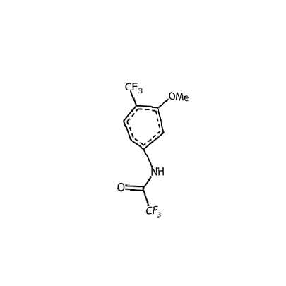 COc1cc(NC(=O)C(F)(F)F)ccc1C(F)(F)F